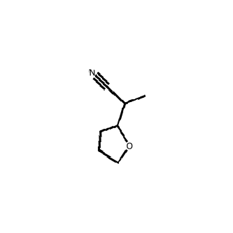 CC(C#N)C1CCCO1